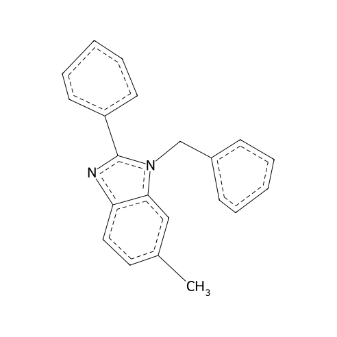 Cc1ccc2nc(-c3ccccc3)n(Cc3ccccc3)c2c1